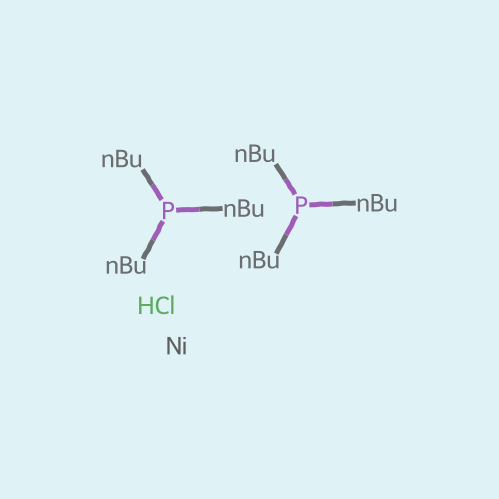 CCCCP(CCCC)CCCC.CCCCP(CCCC)CCCC.Cl.[Ni]